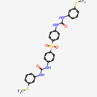 O=C(Nc1ccc(S(=O)(=O)c2ccc(NC(=O)Nc3cccc(SC(F)(F)F)c3)cc2)cc1)Nc1cccc(SC(F)(F)F)c1